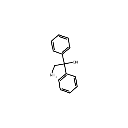 N#CC(CN)(c1ccccc1)c1ccccc1